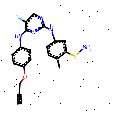 C#CCOc1ccc(Nc2nc(Nc3ccc(C)c(SN)c3)ncc2F)cc1